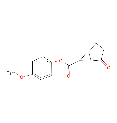 COc1ccc(OC(=O)C2C3CCC(=O)C32)cc1